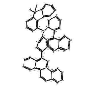 CC1(C)c2ccccc2-c2c(N(c3ccc(-c4cc5c6ccccc6ccc5c5ccccc45)cc3)c3ccccc3-c3cccc4ccccc34)cccc21